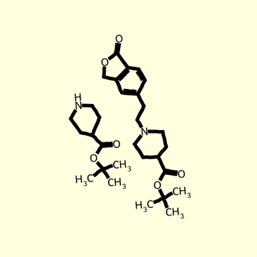 CC(C)(C)OC(=O)C1CCN(CCc2ccc3c(c2)COC3=O)CC1.CC(C)(C)OC(=O)C1CCNCC1